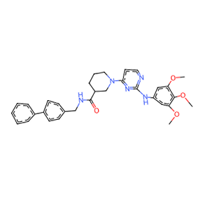 COc1cc(Nc2nccc(N3CCCC(C(=O)NCc4ccc(-c5ccccc5)cc4)C3)n2)cc(OC)c1OC